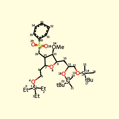 CC[Si](CC)(CC)OCCC1OC(C[C@@H](CO[Si](C)(C)C(C)(C)C)O[Si](C)(C)C(C)(C)C)[C@H](OC)C1CS(=O)(=O)c1ccccc1